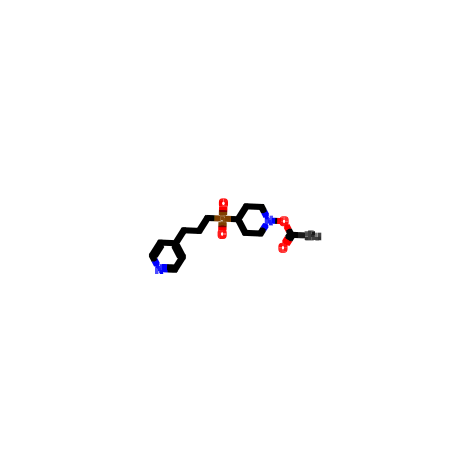 CC(C)(C)C(=O)ON1CCC(S(=O)(=O)CCCc2ccncc2)CC1